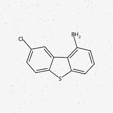 Bc1cccc2sc3ccc(Cl)cc3c12